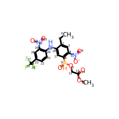 CCc1cc([N+](=O)[O-])c([PH](=O)OCC(=O)OC)cc1Nc1ccc(C(F)(F)F)cc1[N+](=O)[O-]